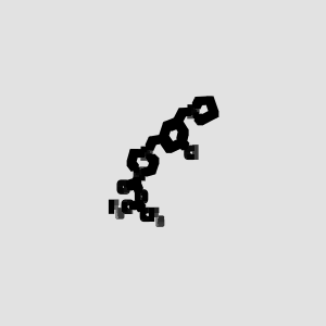 O=C(OC(C(F)(F)F)C(F)(F)F)N1CCN(Cc2cc(Cl)cc(CN3CCCC3)c2)CC1